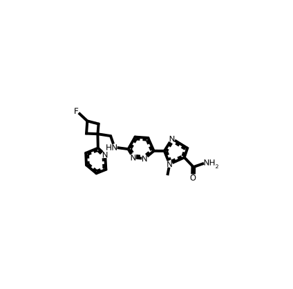 Cn1c(C(N)=O)cnc1-c1ccc(NCC2(c3ccccn3)CC(F)C2)nn1